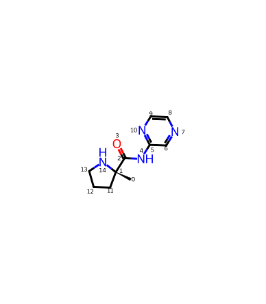 C[C@@]1(C(=O)Nc2cnccn2)CCCN1